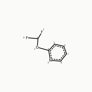 FC(F)Oc1ccc[c]n1